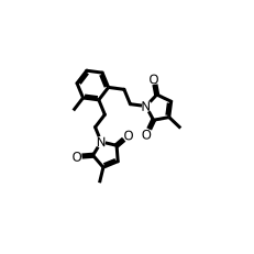 CC1=CC(=O)N(CCc2cccc(C)c2CCN2C(=O)C=C(C)C2=O)C1=O